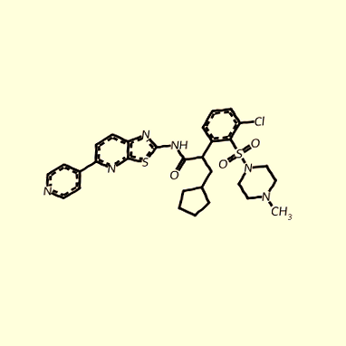 CN1CCN(S(=O)(=O)c2c(Cl)cccc2C(CC2CCCC2)C(=O)Nc2nc3ccc(-c4ccncc4)nc3s2)CC1